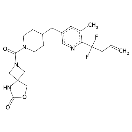 C=CCC(F)(F)c1ncc(CC2CCN(C(=O)N3CC4(COC(=O)N4)C3)CC2)cc1C